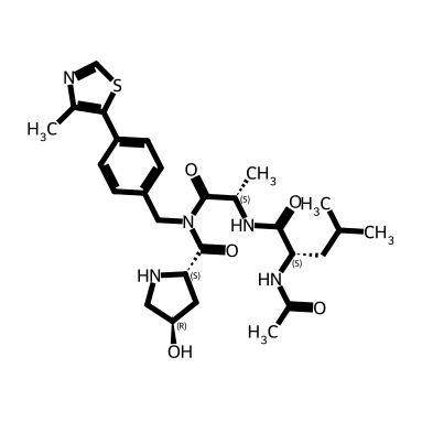 CC(=O)N[C@@H](CC(C)C)C(=O)N[C@@H](C)C(=O)N(Cc1ccc(-c2scnc2C)cc1)C(=O)[C@@H]1C[C@@H](O)CN1